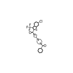 O=C(c1ccccc1)N1CCN(C2CN(C(=O)c3sc4cc(Cl)ccc4c3C(F)(F)F)C2)CC1